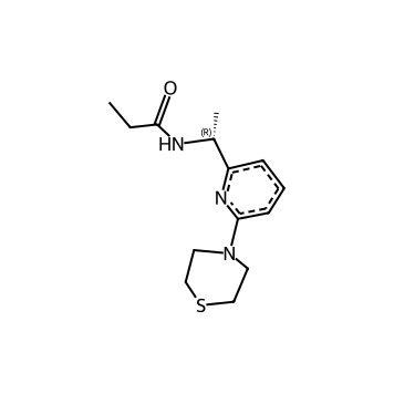 CCC(=O)N[C@H](C)c1cccc(N2CCSCC2)n1